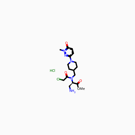 COC(=O)[C@@H](CN)N(CC1CCN(c2ccc(=O)n(C)n2)CC1)C(=O)CCl.Cl